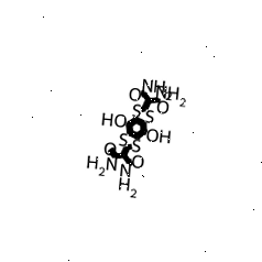 NC(=O)C(C(N)=O)=C1Sc2c(O)c3c(c(O)c2S1)SC(=C(C(N)=O)C(N)=O)S3